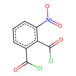 O=C(Cl)c1cccc([N+](=O)[O-])c1C(=O)Cl